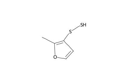 Cc1occc1SS